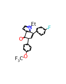 CCn1ccc2c1C(c1ccc(F)cc1)=CC(c1ccc(OC(F)(F)F)cc1)C2=O